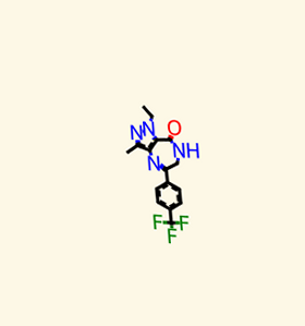 CCn1nc(C)c2c1C(=O)NCC(c1ccc(C(F)(F)F)cc1)=N2